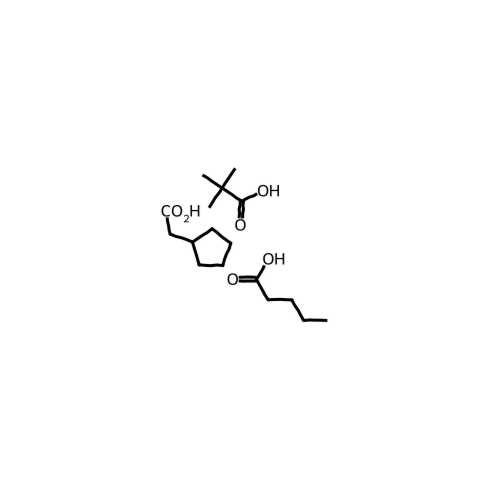 CC(C)(C)C(=O)O.CCCCC(=O)O.O=C(O)CC1CCCC1